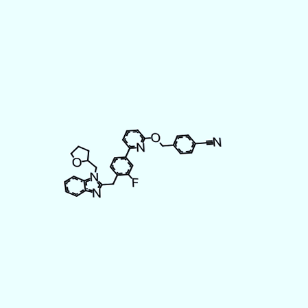 N#Cc1ccc(COc2cccc(-c3ccc(Cc4nc5ccccc5n4CC4CCCO4)c(F)c3)n2)cc1